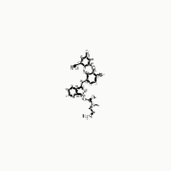 CN(CCN)C(=O)On1nc(Cc2ccc(Br)c(Oc3cc(Cl)cc(C#N)c3)c2F)c2cccnc21